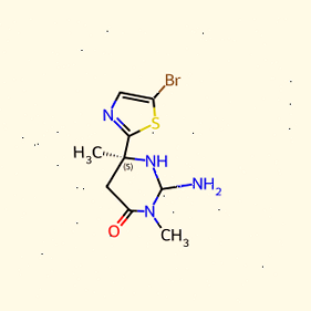 CN1C(=O)C[C@@](C)(c2ncc(Br)s2)NC1N